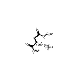 COC(=O)CCC(=O)OC=O.[NaH].[NaH].[NaH]